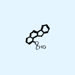 O=COc1cccc2ccc3c(c12)Cc1ccccc1-3